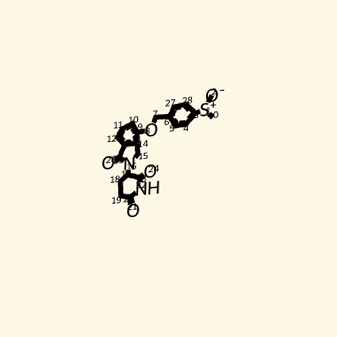 C[S+]([O-])c1ccc(COc2cccc3c2CN(C2CCC(=O)NC2=O)C3=O)cc1